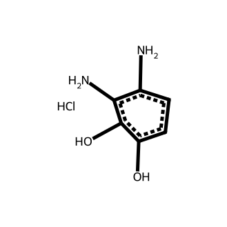 Cl.Nc1ccc(O)c(O)c1N